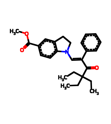 CCC(CC)(CC)C(=O)/C(=C/N1CCc2cc(C(=O)OC)ccc21)c1ccccc1